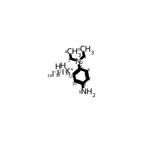 CCN(CC)c1ccc(N)cc1.I.I.[I-].[K+]